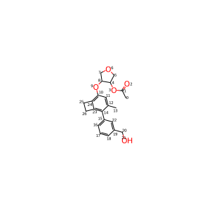 CC(=O)OC1COCC1Oc1cc(C)c(-c2cccc(CO)c2)c2c1CC2